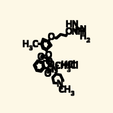 Cc1cc(OCCCONC(=N)N)cc(OS(=O)(=O)c2ccccc2S(=O)(=O)N(C)C2CCN(C)CC2)c1.Cl.Cl